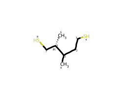 CC(CCS)[C@@H](C)CS